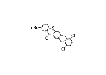 CCCCc1ccc2sc3cc4cc5c(Cl)ccc(Cl)c5cc4cc3c(=O)c2c1